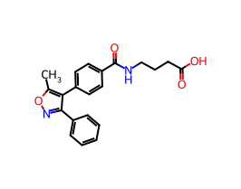 Cc1onc(-c2ccccc2)c1-c1ccc(C(=O)NCCCC(=O)O)cc1